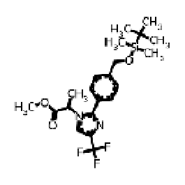 COC(=O)C(C)n1cc(C(F)(F)F)nc1-c1ccc(CO[Si](C)(C)C(C)(C)C)cc1